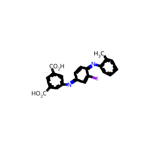 Cc1ccccc1/N=C1C=C/C(=N\c2cc(C(=O)O)cc(C(=O)O)c2)C=C/1I